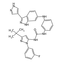 CC(C)(C)c1cc(NC(=O)Nc2cccc(Nc3ccc4c(-c5cn[nH]c5)n[nH]c4c3)c2)n(-c2cccc(F)c2)n1